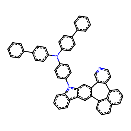 c1ccc(-c2ccc(N(c3ccc(-c4ccccc4)cc3)c3ccc(-n4c5ccccc5c5cc6c(cc54)-c4cnccc4-c4cccc5cccc-6c45)cc3)cc2)cc1